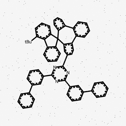 CC(C)(C)c1cccc2c1-c1ccccc1C21c2ccccc2-c2ccccc2-c2ccc(-c3nc(-c4cccc(-c5ccccc5)c4)nc(-c4cccc(-c5ccccc5)c4)n3)cc21